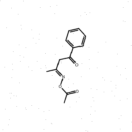 CC(=O)ON=C(C)CC(=O)c1ccccc1